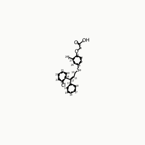 O=C(O)COc1ccc(SC/C=C(/c2ccccc2)c2ccccc2Cl)cc1I